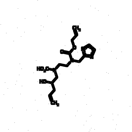 C=CCOC(=O)N(CCN(CC(O)CC=C)C(=O)O)Cc1nccs1